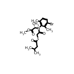 COC(=O)[C@H](C)N(C(=O)CSC(=O)CC(C)C)c1c(C)ccc(Br)c1C